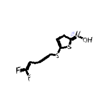 O/N=C1/CC=C(SCCC=C(F)F)S1